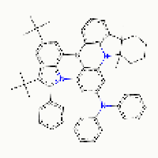 CC(C)(C)c1cc2c3c(c1)c(C(C)(C)C)c(-c1ccccc1)n3-c1cc(N(c3ccccc3)c3ccccc3)cc3c1B2c1cccc2c1N3C1(C)CCCCC21C